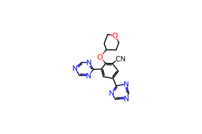 N#Cc1cc(-c2ncncn2)cc(-c2ncncn2)c1OC1CCOCC1